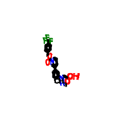 Cc1ccc(C2CCCN(C(=O)OCc3ccc(C(F)(F)F)cc3)C2)cc1NCC(=O)O